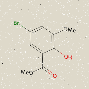 COC(=O)c1cc(Br)cc(OC)c1O